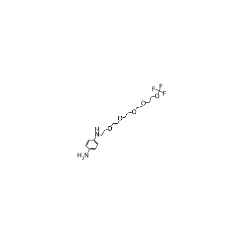 Nc1ccc(NCCOCCOCCOCCOCCOC(F)(F)F)cc1